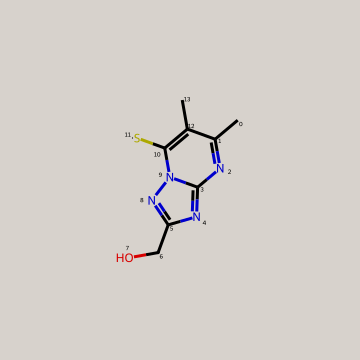 Cc1nc2nc(CO)nn2c([S])c1C